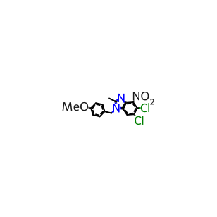 COc1ccc(Cn2c(C)nc3c([N+](=O)[O-])c(Cl)c(Cl)cc32)cc1